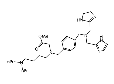 CCCN(CCC)CCCCN(CC(=O)OC)Cc1ccc(CN(CC2=NCCN2)Cc2ncc[nH]2)cc1